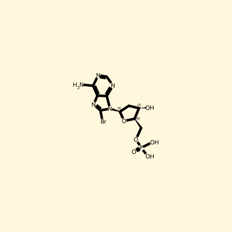 Nc1ncnc2c1nc(Br)n2[C@H]1C[C@H](O)[C@@H](COP(=O)(O)O)O1